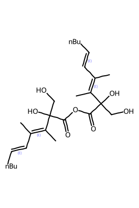 CCCC/C=C/C(C)=C(\C)C(O)(CO)C(=O)OC(=O)C(O)(CO)/C(C)=C(C)/C=C/CCCC